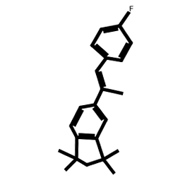 CC(=Cc1ccc(F)cc1)c1ccc2c(c1)C(C)(C)CC2(C)C